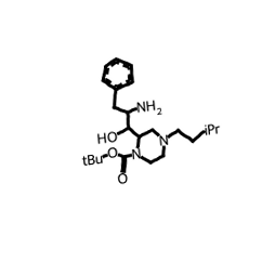 CC(C)CCN1CCN(C(=O)OC(C)(C)C)C(C(O)C(N)Cc2ccccc2)C1